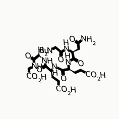 CC[C@H](C)[C@H](NC(=O)[C@H](CCC(=O)O)NC(=O)[C@H](CCC(=O)O)NC(=O)[C@H](CC(N)=O)NC(=O)CN)C(=O)NCC(=O)O